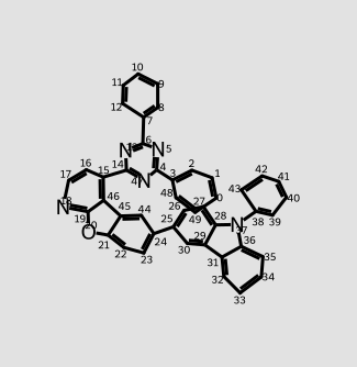 c1ccc(-c2nc(-c3ccccc3)nc(-c3ccnc4oc5ccc(-c6ccc7c(c6)c6ccccc6n7-c6ccccc6)cc5c34)n2)cc1